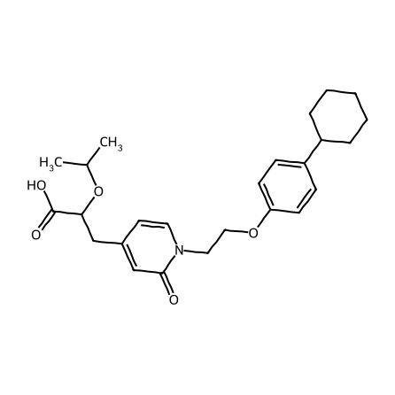 CC(C)OC(Cc1ccn(CCOc2ccc(C3CCCCC3)cc2)c(=O)c1)C(=O)O